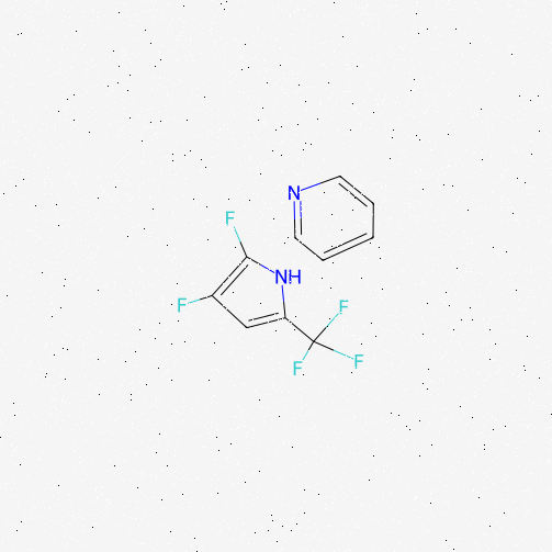 Fc1cc(C(F)(F)F)[nH]c1F.c1ccncc1